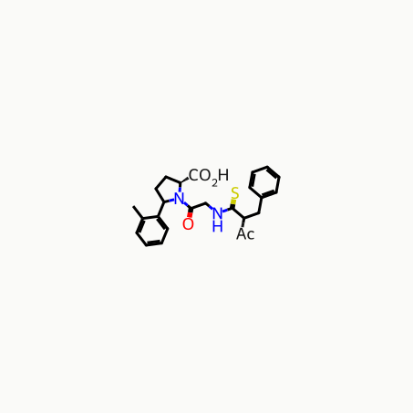 CC(=O)C(Cc1ccccc1)C(=S)NCC(=O)N1C(c2ccccc2C)CC[C@H]1C(=O)O